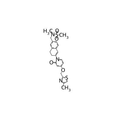 Cc1csc(COc2ccn(C3=Cc4ccc(CN(C)S(C)(=O)=O)cc4CC3)c(=O)c2)n1